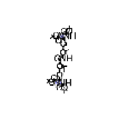 Cc1cc(NC(=O)c2ccc(C3=CCN(/C(=N\C(=O)OC(C)(C)C)NC(=O)OC(C)(C)C)CC3)c(F)c2)ccc1C1=CCN(/C(=N\C(=O)OC(C)(C)C)NC(=O)OC(C)(C)C)CC1